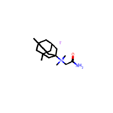 CC12CC3CC(C)(C1)CC([N+](C)(C)CC(N)=O)(C3)C2.[I-]